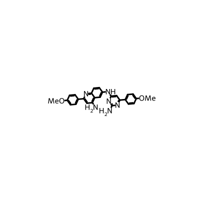 COc1ccc(-c2cc(Nc3ccc4nc(-c5ccc(OC)cc5)cc(N)c4c3)nc(N)n2)cc1